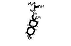 N=C(N)N/N=C/C1(O)CCC2(CCC(O)CC2)CC1